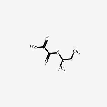 CCC(C)OC(=O)C(C)=O